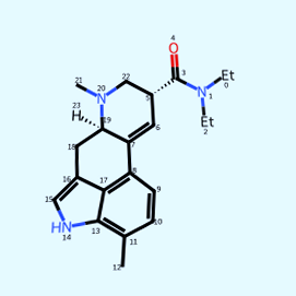 CCN(CC)C(=O)[C@@H]1C=C2c3ccc(C)c4[nH]cc(c34)C[C@H]2N(C)C1